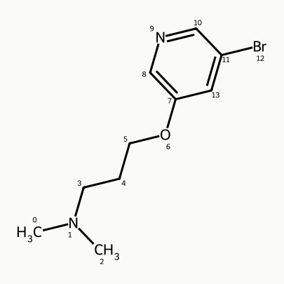 CN(C)CCCOc1cncc(Br)c1